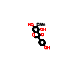 COc1c(O)cc2occ(-c3ccc(O)cc3)c(=O)c2c1O